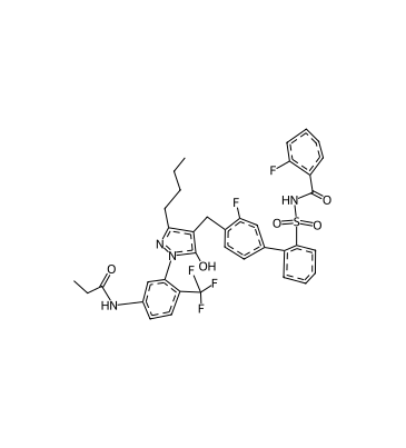 CCCCc1nn(-c2cc(NC(=O)CC)ccc2C(F)(F)F)c(O)c1Cc1ccc(-c2ccccc2S(=O)(=O)NC(=O)c2ccccc2F)cc1F